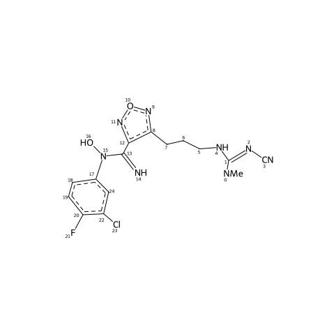 CN/C(=N\C#N)NCCCc1nonc1C(=N)N(O)c1ccc(F)c(Cl)c1